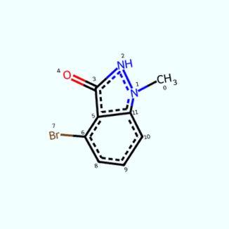 Cn1[nH]c(=O)c2c(Br)cccc21